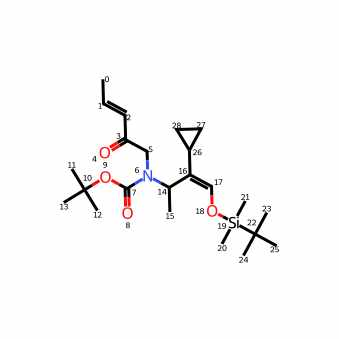 CC=CC(=O)CN(C(=O)OC(C)(C)C)C(C)C(=CO[Si](C)(C)C(C)(C)C)C1CC1